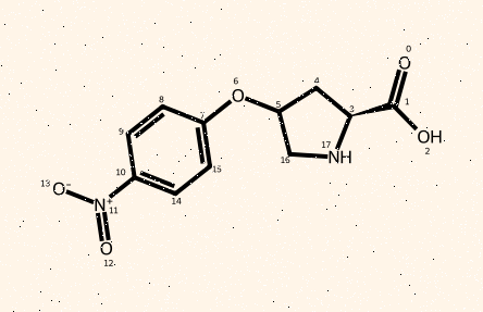 O=C(O)[C@@H]1CC(Oc2ccc([N+](=O)[O-])cc2)CN1